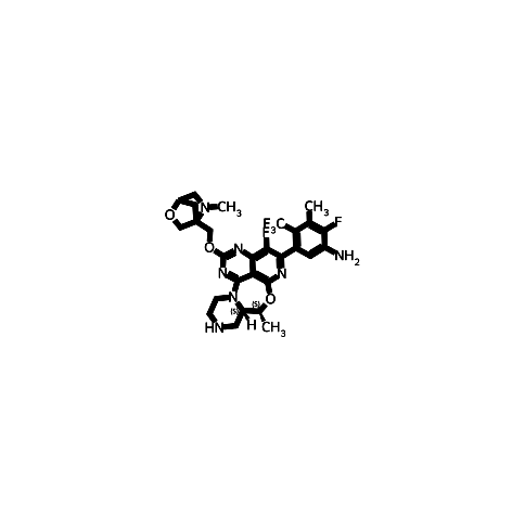 Cc1c(F)c(N)cc(-c2nc3c4c(nc(OCC56COC(CN5C)C6)nc4c2F)N2CCNC[C@H]2[C@H](C)O3)c1C(F)(F)F